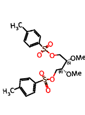 CO[C@@H](COS(=O)(=O)c1ccc(C)cc1)[C@@H](COS(=O)(=O)c1ccc(C)cc1)OC